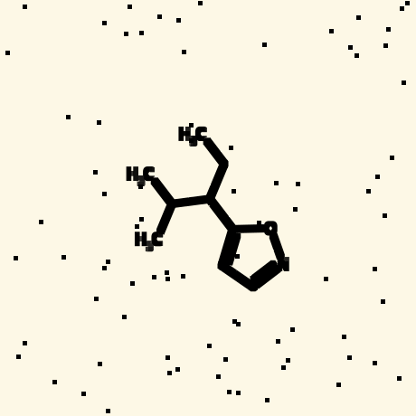 CCC(c1ccno1)C(C)C